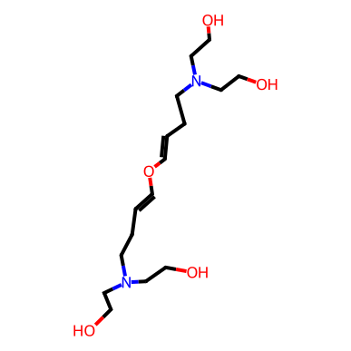 OCCN(CCO)CCC=COC=CCCN(CCO)CCO